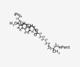 CCCCCC1CC1C(C)C1CC1CCCCCCCC(=O)OC1CCC2(C)C(=CCC3C2CCC2(C)C(C(C)CCCC(C)C)CCC32)C1